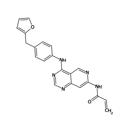 C=CC(=O)Nc1cc2ncnc(Nc3ccc(Cc4ccco4)cc3)c2cn1